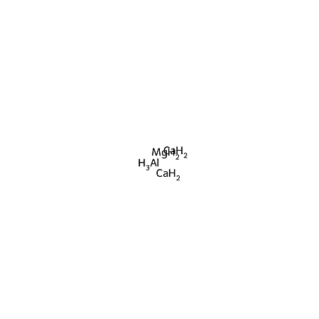 [AlH3].[CaH2].[CaH2].[MgH2]